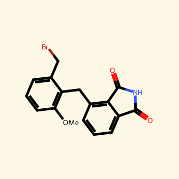 COc1cccc(CBr)c1Cc1cccc2c1C(=O)NC2=O